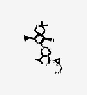 CC(C)C1CN(c2nc(C3CC3)c3c(c2C#N)CC(C)(C)OC3)CCN1C(=O)[C@@H]1C[C@H]1CO